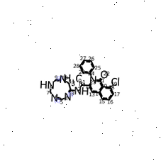 C[C@H](N/C1=N/C=N\CN/C=N\C1)c1cc2cccc(Cl)c2c(=O)n1-c1ccccc1